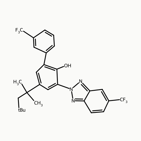 CC(C)(C)CC(C)(C)c1cc(-c2cccc(C(F)(F)F)c2)c(O)c(-n2nc3ccc(C(F)(F)F)cc3n2)c1